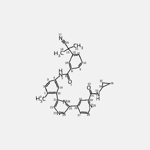 Cc1ccc(NC(=O)c2cccc(C(C)(C)C#N)c2)cc1-c1cncc(-c2ccnc(C(=O)NC3CC3)c2)n1